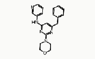 c1ccc(Cc2cc(Nc3cccnc3)nc(N3CCOCC3)n2)cc1